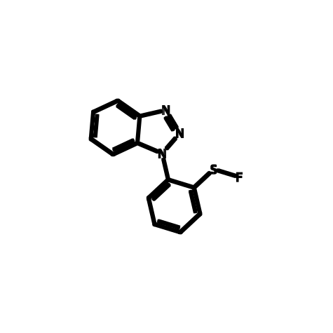 FSc1ccccc1-n1nnc2ccccc21